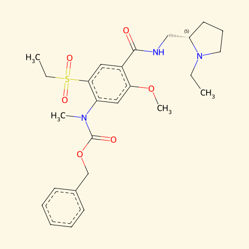 CCN1CCC[C@H]1CNC(=O)c1cc(S(=O)(=O)CC)c(N(C)C(=O)OCc2ccccc2)cc1OC